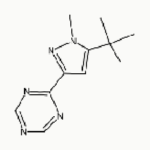 Cn1nc(-c2ncncn2)cc1C(C)(C)C